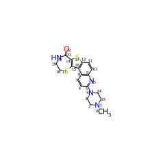 CN1CCN(c2ccc3c(ccc4sc5c(c43)SCCNC5=O)n2)CC1